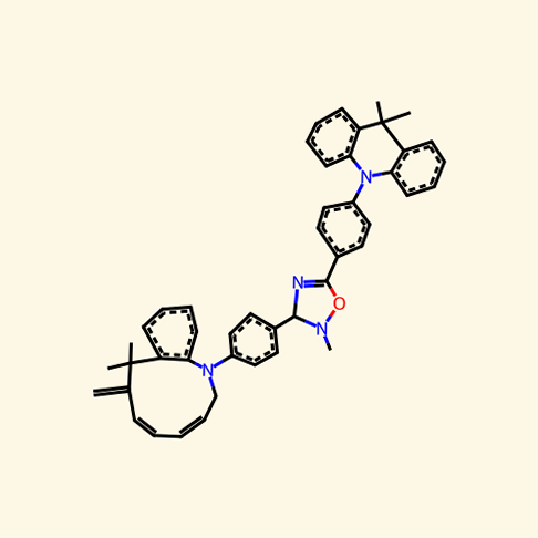 C=C1/C=C\C=C/CN(c2ccc(C3N=C(c4ccc(N5c6ccccc6C(C)(C)c6ccccc65)cc4)ON3C)cc2)c2ccccc2C1(C)C